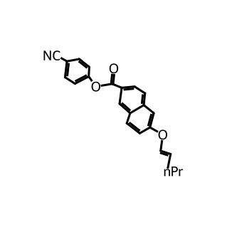 CCCC=COc1ccc2cc(C(=O)Oc3ccc(C#N)cc3)ccc2c1